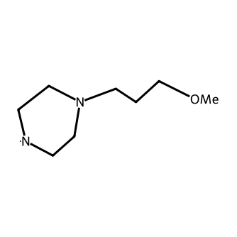 COCCCN1CC[N]CC1